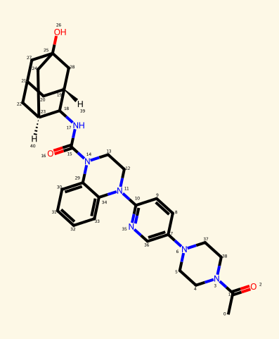 CC(=O)N1CCN(c2ccc(N3CCN(C(=O)NC4[C@@H]5CC6C[C@H]4CC(O)(C6)C5)c4ccccc43)nc2)CC1